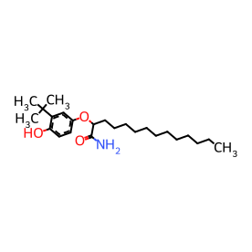 CCCCCCCCCCCCC(Oc1ccc(O)c(C(C)(C)C)c1)C(N)=O